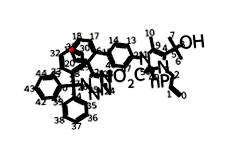 C=CCN1C(C(C)(C)O)=C(C)N(c2ccc(-c3ccccc3-c3nnnn3C(c3ccccc3)(c3ccccc3)c3ccccc3)cc2)C1(CCC)C(=O)O